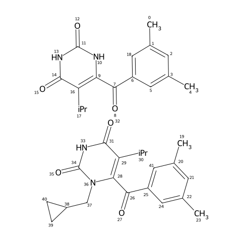 Cc1cc(C)cc(C(=O)c2[nH]c(=O)[nH]c(=O)c2C(C)C)c1.Cc1cc(C)cc(C(=O)c2c(C(C)C)c(=O)[nH]c(=O)n2CC2CC2)c1